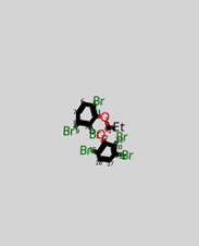 CCC(Oc1c(Br)ccc(Br)c1Br)Oc1c(Br)ccc(Br)c1Br